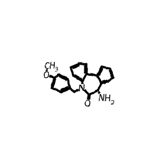 COc1ccc(CN2C(=O)[C@H](N)c3ccccc3-c3ccccc32)cc1